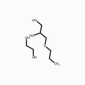 CCCOCC(O)CO.OCCO